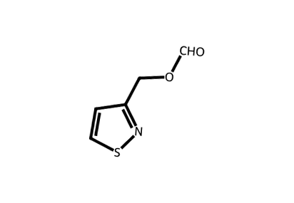 O=COCc1ccsn1